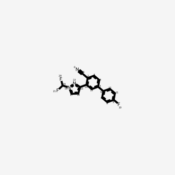 N#Cc1ccc(-c2ccc(F)cc2)cc1-c1ccn(C(F)F)n1